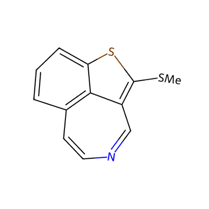 CSc1sc2cccc3c2c1C=NC=C3